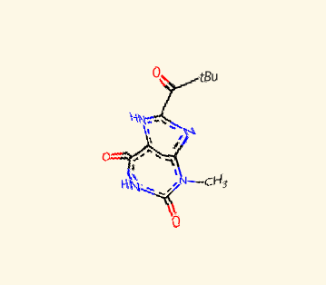 Cn1c(=O)[nH]c(=O)c2[nH]c(C(=O)C(C)(C)C)nc21